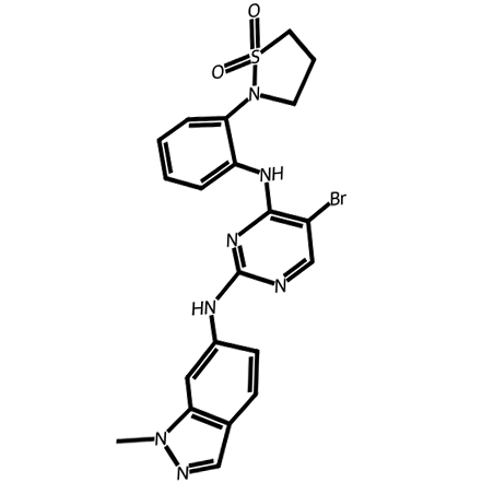 Cn1ncc2ccc(Nc3ncc(Br)c(Nc4ccccc4N4CCCS4(=O)=O)n3)cc21